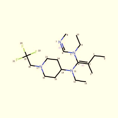 CC/C(C)=C(\N(/C=N\C)CC)N(CC)C1CCN(CC(F)(F)F)CC1